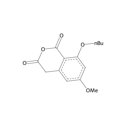 CCCCOc1cc(OC)cc2c1C(=O)OC(=O)C2